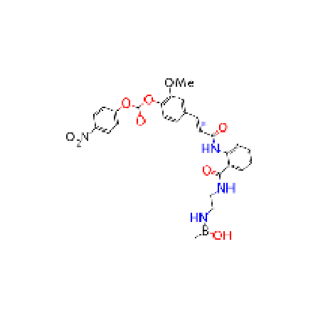 COc1cc(/C=C/C(=O)Nc2ccccc2C(=O)NCCNB(C)O)ccc1OC(=O)Oc1ccc([N+](=O)[O-])cc1